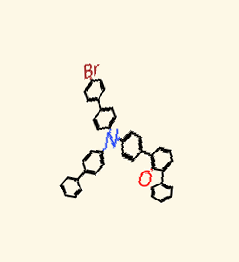 Brc1ccc(-c2ccc(N(c3ccc(-c4ccccc4)cc3)c3ccc(-c4cccc5c4oc4ccccc45)cc3)cc2)cc1